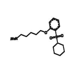 CNCCCCCOc1ccccc1S(=O)(=O)C1CCCCC1